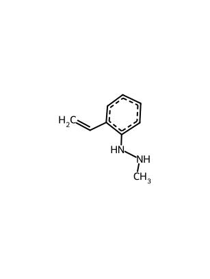 C=Cc1ccccc1NNC